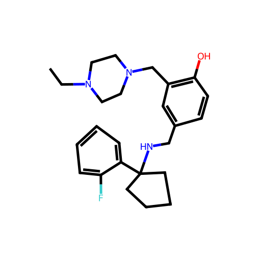 CCN1CCN(Cc2cc(CNC3(c4ccccc4F)CCCC3)ccc2O)CC1